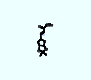 COC(=O)/C=C/C1CC2OC(C)(C)OC2O1